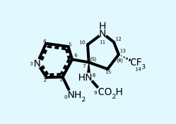 Nc1cnccc1[C@]1(NC(=O)O)CNC[C@H](C(F)(F)F)C1